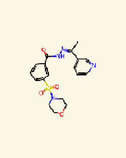 CC(=NNC(=O)c1cccc(S(=O)(=O)N2CCOCC2)c1)c1cccnc1